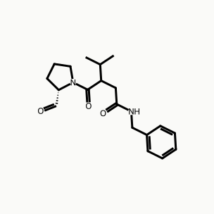 CC(C)C(CC(=O)NCc1ccccc1)C(=O)N1CCC[C@H]1C=O